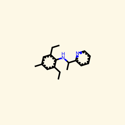 CCc1cc(C)cc(CC)c1NC(C)c1ccccn1